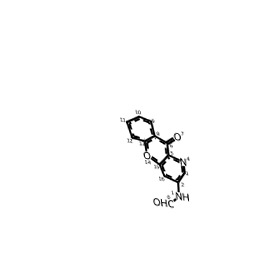 O=CNc1cnc2c(=O)c3ccccc3oc2c1